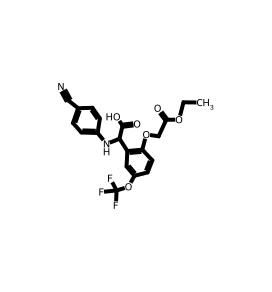 CCOC(=O)COc1ccc(OC(F)(F)F)cc1C(Nc1ccc(C#N)cc1)C(=O)O